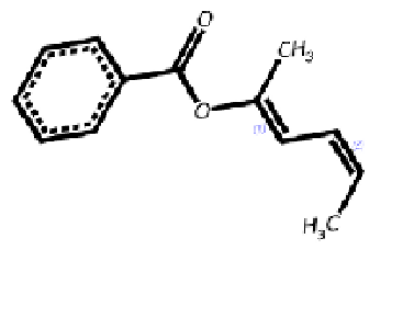 C/C=C\C=C(/C)OC(=O)c1ccccc1